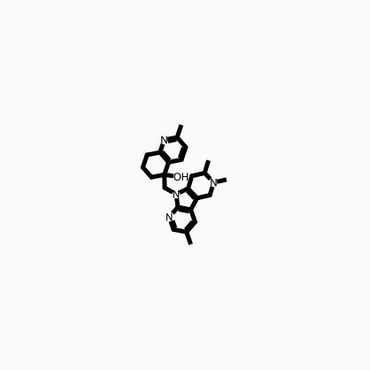 Cc1cnc2c(c1)c1c(n2CC2(O)CCCc3nc(C)ccc32)CC(C)N(C)C1